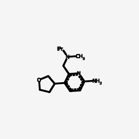 CC(C)N(C)Cc1nc(N)ccc1C1CCOC1